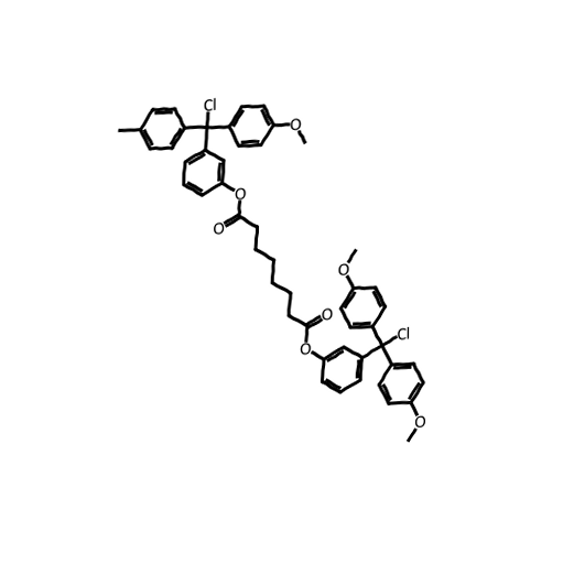 COc1ccc(C(Cl)(c2ccc(C)cc2)c2cccc(OC(=O)CCCCCCC(=O)Oc3cccc(C(Cl)(c4ccc(OC)cc4)c4ccc(OC)cc4)c3)c2)cc1